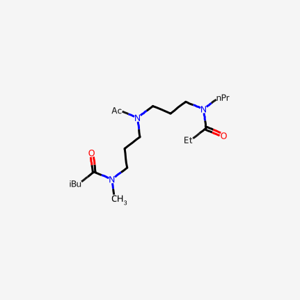 CCCN(CCCN(CCCN(C)C(=O)C(C)CC)C(C)=O)C(=O)CC